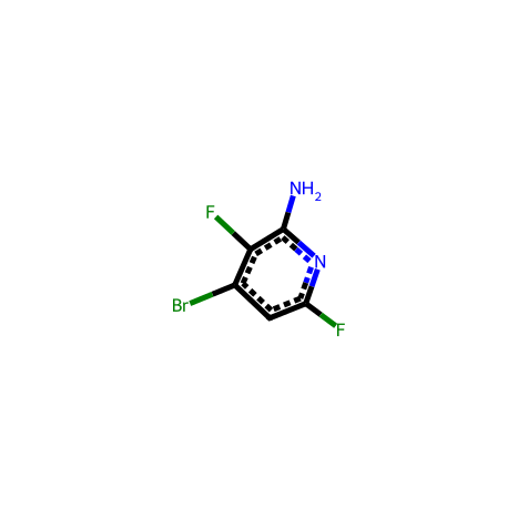 Nc1nc(F)cc(Br)c1F